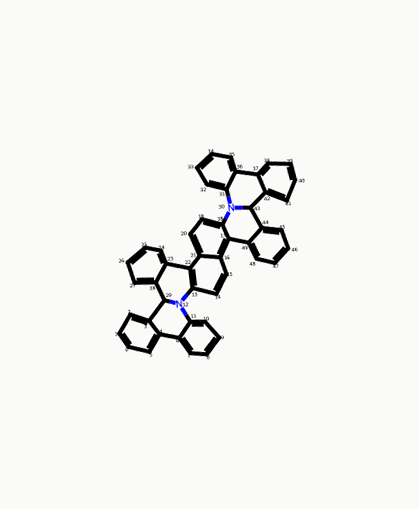 c1ccc2c(c1)-c1ccccc1N1c3ccc4c5c(ccc4c3-c3ccccc3C21)N1c2ccccc2-c2ccccc2C1c1ccccc1-5